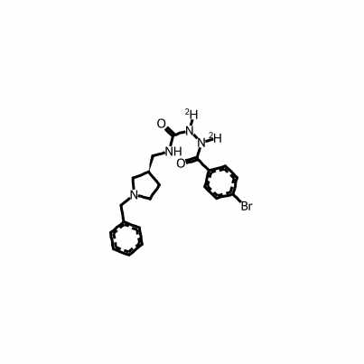 [2H]N(C(=O)NC[C@H]1CCN(Cc2ccccc2)C1)N([2H])C(=O)c1ccc(Br)cc1